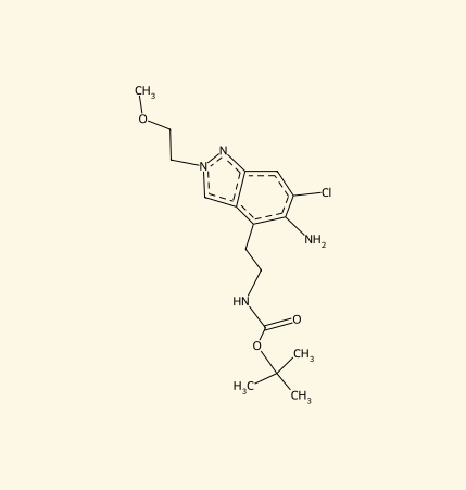 COCCn1cc2c(CCNC(=O)OC(C)(C)C)c(N)c(Cl)cc2n1